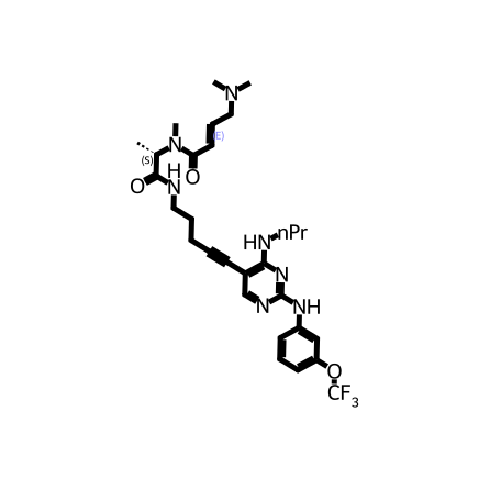 CCCNc1nc(Nc2cccc(OC(F)(F)F)c2)ncc1C#CCCCNC(=O)[C@H](C)N(C)C(=O)/C=C/CN(C)C